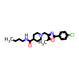 CCCCNC(=O)C1CCN(Cc2nc(-c3ccc(Cl)cc3)oc2C)CC1